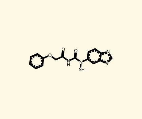 O=C(COc1ccccc1)NC(=O)N(S)c1ccc2ncsc2c1